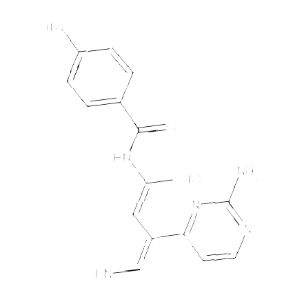 CC(C)(C)c1ccc(C(=O)N/C(C=O)=C/C(=C\N)c2ccnc(N)n2)cc1